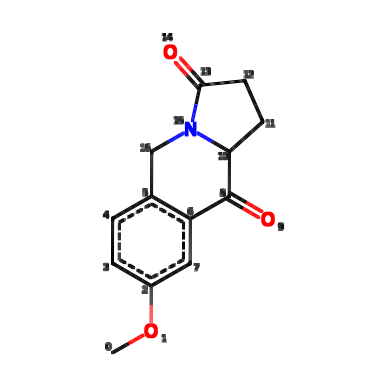 COc1ccc2c(c1)C(=O)C1CCC(=O)N1C2